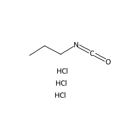 CCCN=C=O.Cl.Cl.Cl